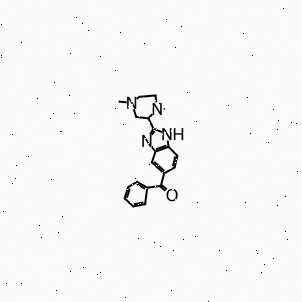 CN1CC[N]C(c2nc3cc(C(=O)c4ccccc4)ccc3[nH]2)C1